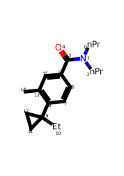 CCCN(CCC)C(=O)c1ccc(C2(CC)CC2)c(C)c1